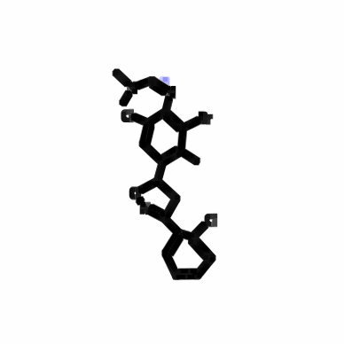 Cc1c(C2CC(c3ccccc3Cl)=NO2)cc(Cl)c(/N=C\N(C)C)c1Br